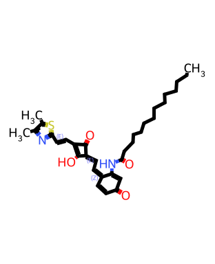 CCCCCCCCCCCCCC(=O)NC1=CC(=O)C=C/C1=C/C=C1/C(=O)C(/C=C/c2nc(C)c(C)s2)=C1O